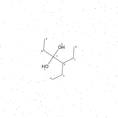 CCC(CC)C(O)(O)CC